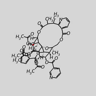 CC(=O)OC[C@]12[C@H](OC(C)=O)[C@H](OC(=O)c3cccnc3)[C@@H]3[C@@H](OC(=O)c4ccco4)[C@@]14O[C@@]3(C)COC(=O)c1cccnc1C(C)C(C)C(=O)O[C@@H]([C@H](OC(C)=O)[C@@H]2OC(C)=O)[C@]4(C)O